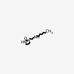 CCCCCCCNCCCN1CCCNC1=O